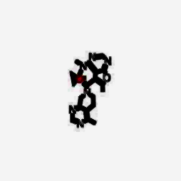 Cc1ncnc2c1CCN(C(=O)c1c(C)oc3ncnc(N(C)C4(C)CC4)c13)C2